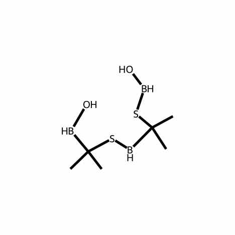 CC(C)(BO)SBC(C)(C)SBO